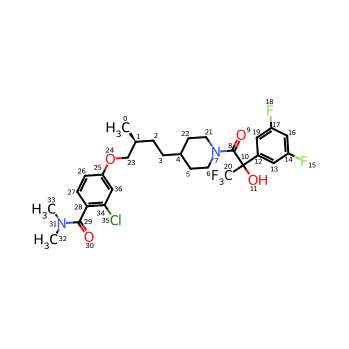 C[C@@H](CCC1CCN(C(=O)C(O)(c2cc(F)cc(F)c2)C(F)(F)F)CC1)COc1ccc(C(=O)N(C)C)c(Cl)c1